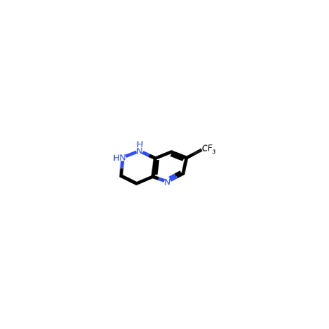 FC(F)(F)c1cnc2c(c1)NNCC2